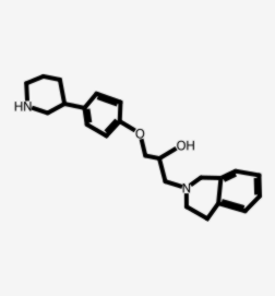 OC(COc1ccc(C2CCCNC2)cc1)CN1CCc2ccccc2C1